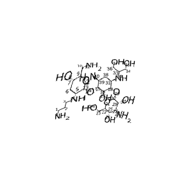 NCCCN[C@@H]1C[C@H](O)[C@@H](CN)O[C@@H]1O[C@H]1[C@H](O)[C@@H](O[C@H]2O[C@H](CO)[C@@H](O)[C@H](N)[C@H]2O)[C@H](NC(CO)CO)C[C@@H]1N